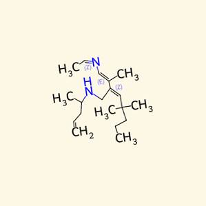 C=CCC(C)NCC(=C\C(C)(C)CCC)/C(C)=C/N=C\C